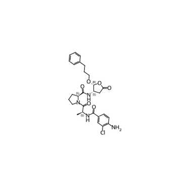 C[C@H](NC(=O)c1ccc(N)c(Cl)c1)C(=O)N1CCC[C@H]1C(=O)N[C@H]1CC(=O)O[C@H]1OCCCc1ccccc1